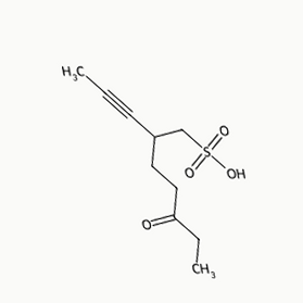 CC#CC(CCC(=O)CC)CS(=O)(=O)O